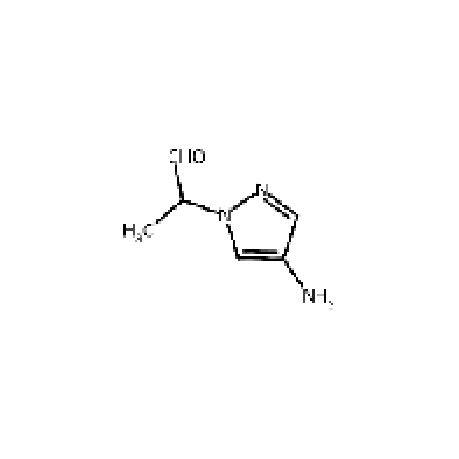 CC(C=O)n1cc(N)cn1